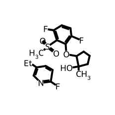 CC1(O)CCCC1Oc1c(F)ccc(F)c1S(C)(=O)=O.CCc1ccc(F)nc1